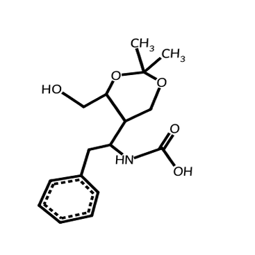 CC1(C)OCC(C(Cc2ccccc2)NC(=O)O)C(CO)O1